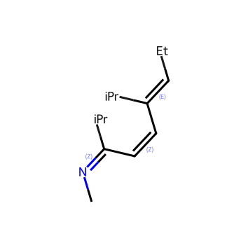 CC/C=C(/C=C\C(=N/C)C(C)C)C(C)C